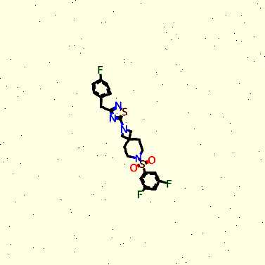 O=S(=O)(c1cc(F)cc(F)c1)N1CCC2(CC1)CN(c1nc(Cc3ccc(F)cc3)ns1)C2